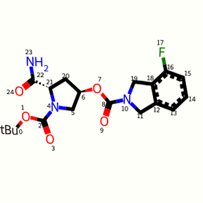 CC(C)(C)OC(=O)N1C[C@H](OC(=O)N2Cc3cccc(F)c3C2)C[C@H]1C(N)=O